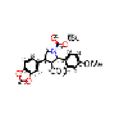 COc1ccc(C2C(C(=O)O)C(c3ccc4c(c3)OCO4)CN2C(=O)OC(C)(C)C)cc1